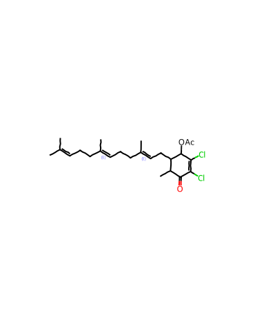 CC(=O)OC1C(Cl)=C(Cl)C(=O)C(C)C1C/C=C(\C)CC/C=C(\C)CCC=C(C)C